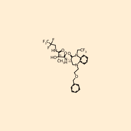 C[C@](O)(C(=O)NCC(F)(F)C(F)(F)F)C(=O)N[C@H]1CN(CCOCc2ccccc2)c2ccccc2N(CC(F)(F)F)C1=O